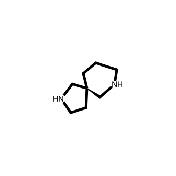 C1CNC[C@@]2(C1)CCNC2